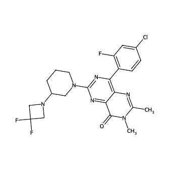 Cc1nc2c(-c3ccc(Cl)cc3F)nc(N3CCCC(N4CC(F)(F)C4)C3)nc2c(=O)n1C